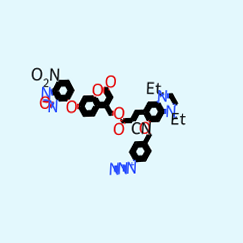 CCN1CCN(CC)c2cc(OCc3ccc(N=[N+]=[N-])cc3)c(/C=C(\C#N)C(=O)OCc3cc(=O)oc4cc(Oc5ccc([N+](=O)[O-])c6nonc56)ccc34)cc21